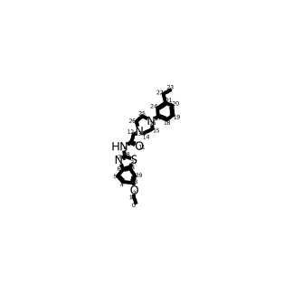 CCOc1ccc2nc(NC(=O)CN3CCN(c4cccc(CC)c4)CC3)sc2c1